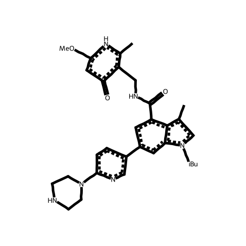 CCC(C)n1cc(C)c2c(C(=O)NCc3c(C)[nH]c(OC)cc3=O)cc(-c3ccc(N4CCNCC4)nc3)cc21